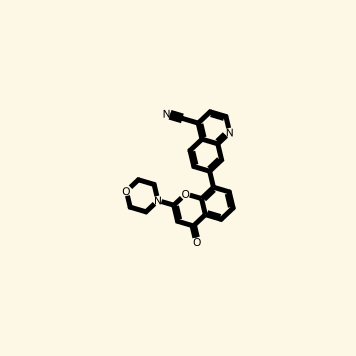 N#Cc1ccnc2cc(-c3cccc4c(=O)cc(N5CCOCC5)oc34)ccc12